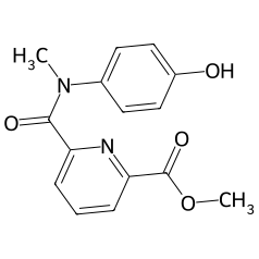 COC(=O)c1cccc(C(=O)N(C)c2ccc(O)cc2)n1